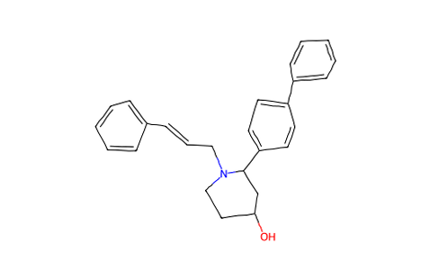 OC1CCN(CC=Cc2ccccc2)C(c2ccc(-c3ccccc3)cc2)C1